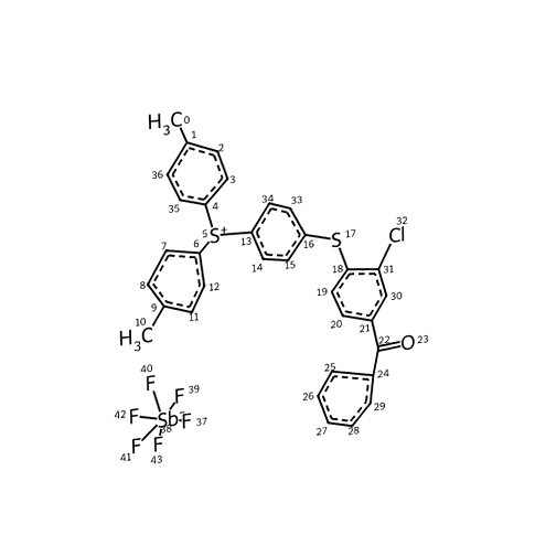 Cc1ccc([S+](c2ccc(C)cc2)c2ccc(Sc3ccc(C(=O)c4ccccc4)cc3Cl)cc2)cc1.[F][Sb-]([F])([F])([F])([F])[F]